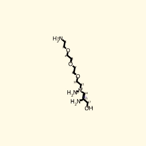 NCCOCCOCCOCCN(N)/C=C(\N)CO